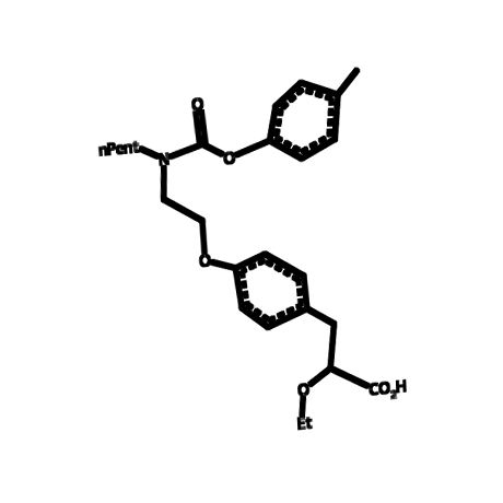 CCCCCN(CCOc1ccc(CC(OCC)C(=O)O)cc1)C(=O)Oc1ccc(C)cc1